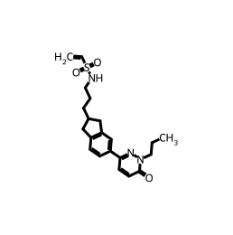 C=CS(=O)(=O)NCCCC1Cc2ccc(-c3ccc(=O)n(CCC)n3)cc2C1